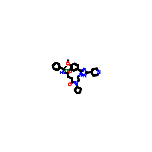 COc1ccc(-c2nc(-c3ccncc3)nn2CCN(C(=O)CCC(=O)N[C@H](C)c2ccccc2)C2CCCC2)cc1Cl